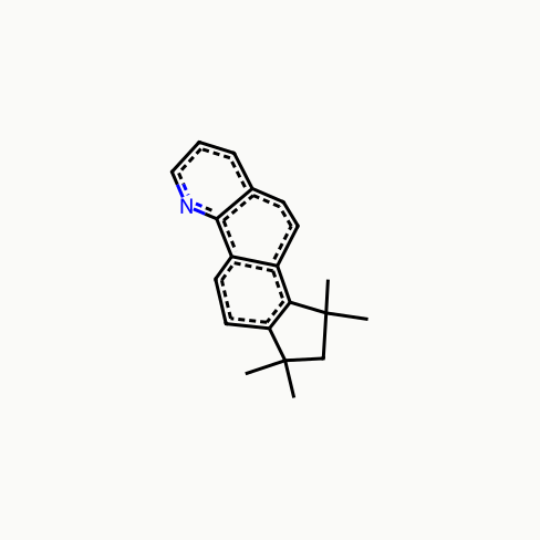 CC1(C)CC(C)(C)c2c1ccc1c2ccc2cccnc21